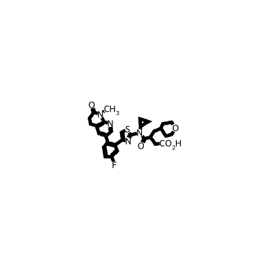 CN1C(=O)CCc2cc(-c3ccc(F)cc3-c3csc(N(C(=O)C(CC(=O)O)CC4CCOCC4)C4CC4)n3)cnc21